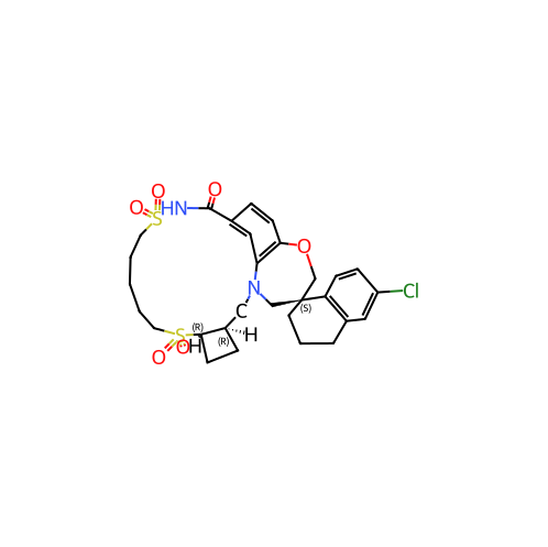 O=C1NS(=O)(=O)CCCCCS(=O)(=O)[C@@H]2CC[C@@H]2CN2C[C@@]3(CCCc4cc(Cl)ccc43)COc3ccc1cc32